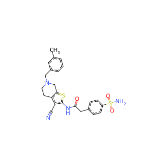 Cc1cccc(CN2CCc3c(sc(NC(=O)Cc4ccc(S(N)(=O)=O)cc4)c3C#N)C2)c1